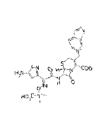 CC(C)(ON=C(C(=O)NC1C(=O)N2C(C(=O)[O-])=C(C[n+]3ccc4ccsc4c3)CS[C@@H]12)c1cc(N)sn1)C(=O)O